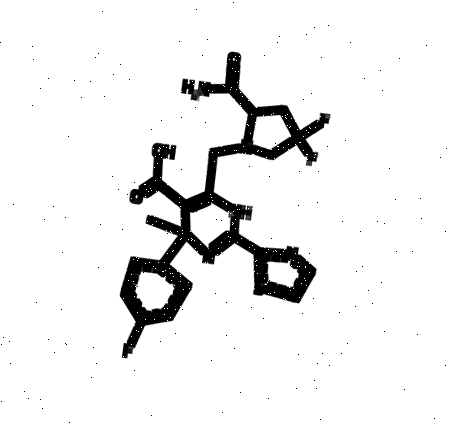 CC1(c2ccc(F)cc2)N=C(c2nccs2)NC(CN2CC(F)(F)CC2C(N)=O)=C1C(=O)O